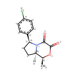 C[C@@H]1OC(=O)C(=O)N2[C@@H]1CC[C@H]2c1ccc(Cl)cc1